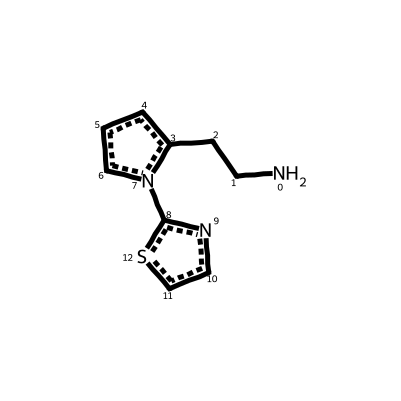 NCCc1cccn1-c1nccs1